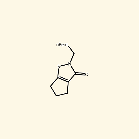 CCCCCCn1sc2c(c1=O)CCC2